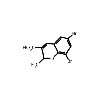 O=C(O)C1=Cc2cc(Br)cc(Br)c2OC1C(F)(F)F